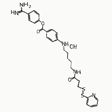 Cl.N=C(N)c1ccc(OC(=O)c2ccc(NCCCCCNC(=O)CCSSc3ccccn3)cc2)cc1